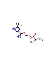 C=C(C)C(=O)OCCOC(=N)N1C=C(C)NC1